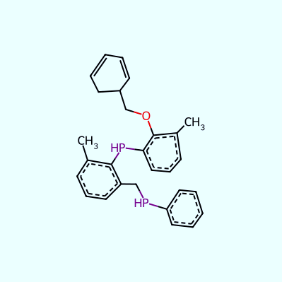 Cc1cccc(Pc2c(C)cccc2CPc2ccccc2)c1OCC1C=CC=CC1